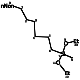 CCCCCCCCCCCCCCC[Si](C)(OCC)OCC